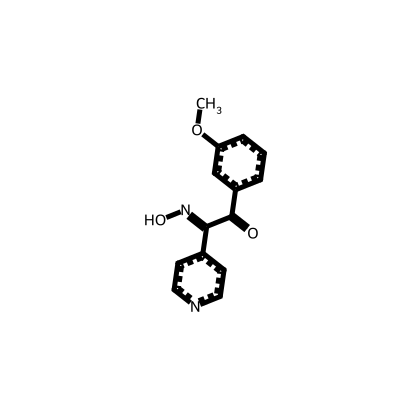 COc1cccc(C(=O)C(=NO)c2ccncc2)c1